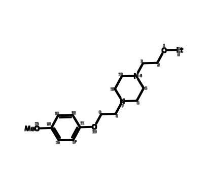 CCOCCN1CCN(CCOc2ccc(OC)cc2)CC1